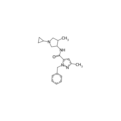 Cc1cc(C(=O)NC2CN(C3CC3)CC2C)n(Cc2ccccc2)n1